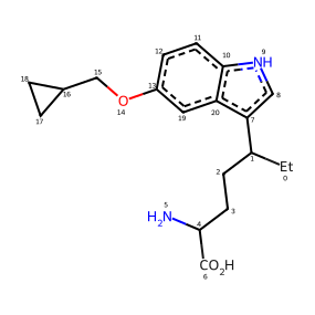 CCC(CCC(N)C(=O)O)c1c[nH]c2ccc(OCC3CC3)cc12